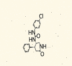 O=C1C[C@@H](c2ccccc2)[C@H](NC(=O)Nc2ccc(Cl)cc2)CN1